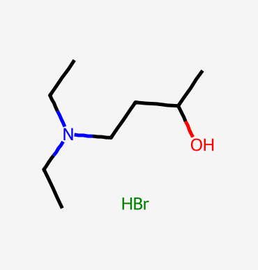 Br.CCN(CC)CCC(C)O